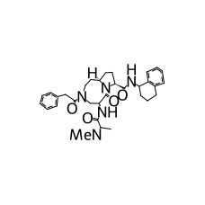 CN[C@@H](C)C(=O)N[C@H]1CN(C(=O)Cc2ccccc2)CC[C@H]2CC[C@@H](C(=O)NC3CCCc4ccccc43)N2C1=O